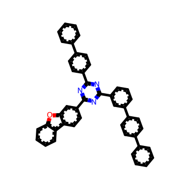 c1ccc(-c2ccc(-c3cccc(-c4nc(-c5ccc(-c6ccccc6)cc5)nc(-c5ccc6c(c5)oc5ccccc56)n4)c3)cc2)cc1